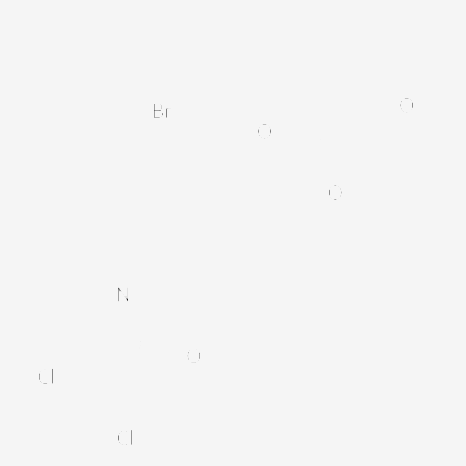 O=C(Oc1ccc2c(c1Br)CCCN2C(=O)C(Cl)Cl)c1ccco1